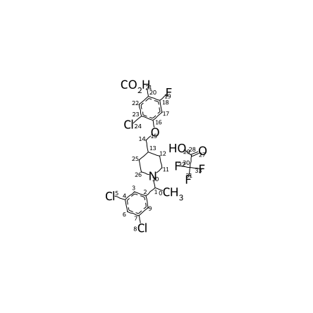 CC(c1cc(Cl)cc(Cl)c1)N1CCC(COc2cc(F)c(C(=O)O)cc2Cl)CC1.O=C(O)C(F)(F)F